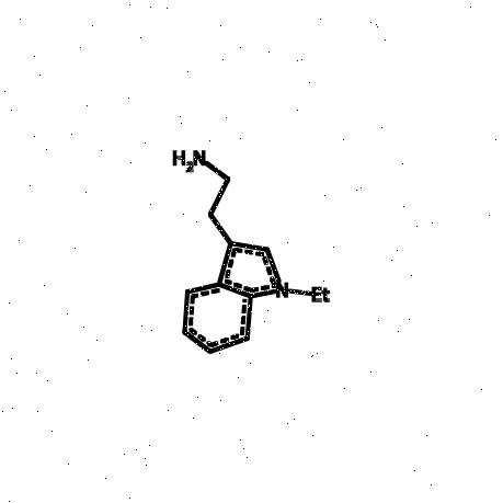 CCn1cc(CCN)c2ccccc21